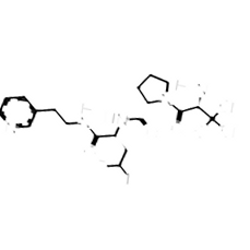 CC(C)(C)[C@H](N)C(=O)N1CCC[C@H]1C(=O)N[C@@H](CC(F)F)C(=O)NCCc1cccnc1